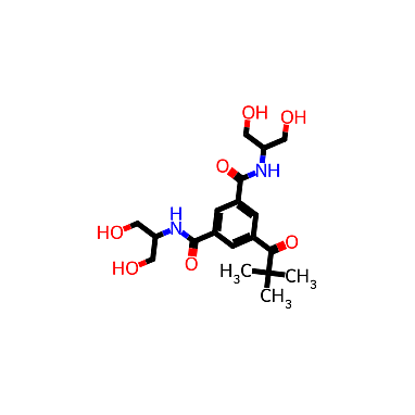 CC(C)(C)C(=O)c1cc(C(=O)NC(CO)CO)cc(C(=O)NC(CO)CO)c1